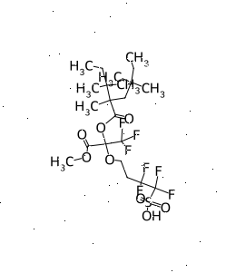 CCC(C)(C)CC(C)(C(=O)OC(OCCC(F)(F)C(F)(F)S(=O)(=O)O)(C(=O)OC)C(F)(F)F)C(C)(C)CC